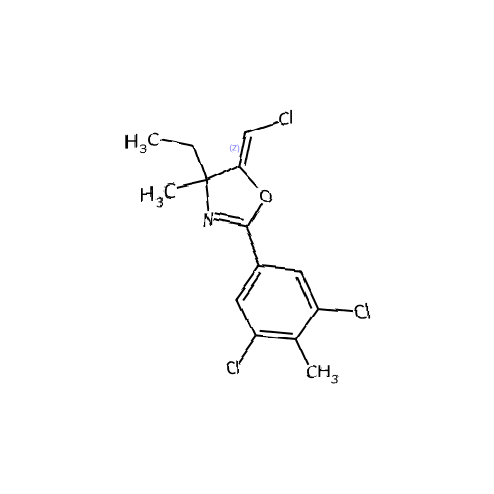 CCC1(C)N=C(c2cc(Cl)c(C)c(Cl)c2)O/C1=C\Cl